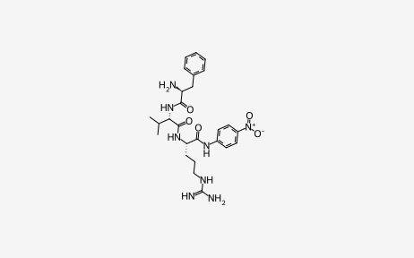 CC(C)[C@H](NC(=O)[C@@H](N)Cc1ccccc1)C(=O)N[C@@H](CCCNC(=N)N)C(=O)Nc1ccc([N+](=O)[O-])cc1